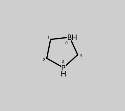 B1CCPC1